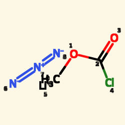 COC(=O)Cl.[Li+].[N-]=[N+]=[N-]